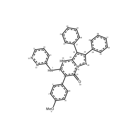 COc1ccc(-c2c(Nc3cccnn3)[nH]c3c(-c4ccccc4)c(-c4ccccc4)nn3c2=O)cc1